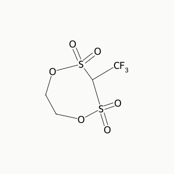 O=S1(=O)OCCOS(=O)(=O)C1C(F)(F)F